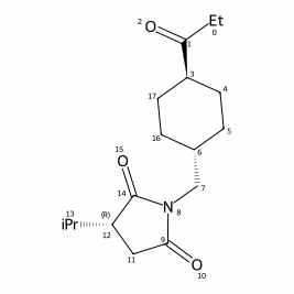 CCC(=O)[C@H]1CC[C@H](CN2C(=O)C[C@H](C(C)C)C2=O)CC1